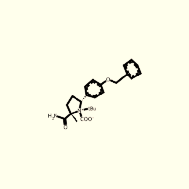 CC(C)(C)[N+]1(C(=O)[O-])[C@@H](c2ccc(OCc3ccccc3)cc2)CC[C@@]1(C)C(N)=O